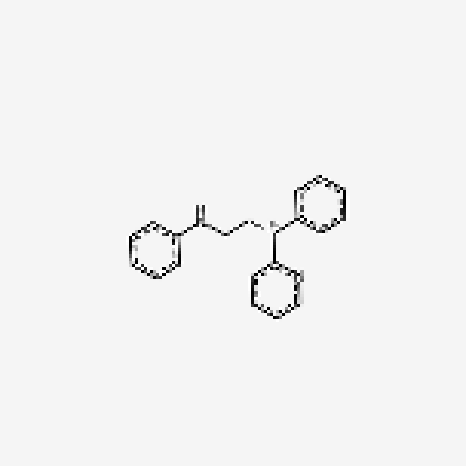 c1ccc(NCC[C@H](c2ccccc2)c2ccccn2)cc1